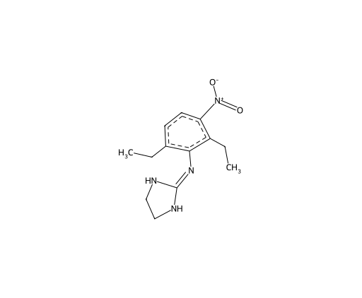 CCc1ccc([N+](=O)[O-])c(CC)c1N=C1NCCN1